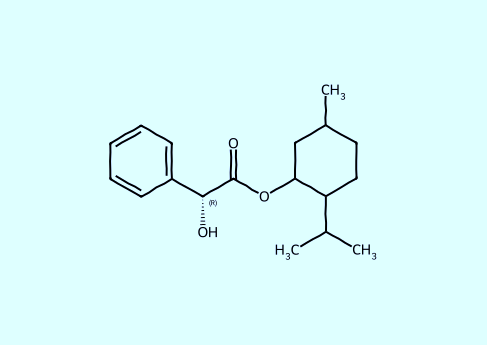 CC1CCC(C(C)C)C(OC(=O)[C@H](O)c2ccccc2)C1